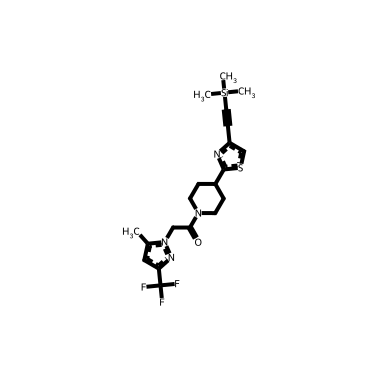 Cc1cc(C(F)(F)F)nn1CC(=O)N1CCC(c2nc(C#C[Si](C)(C)C)cs2)CC1